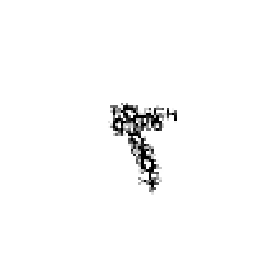 CC(C)Oc1ccc(S(=O)(=O)N2C[C@@H](N3CCCC3)[C@@H](n3nc(CC(=O)O)c4ccc(F)cc43)C2)cc1